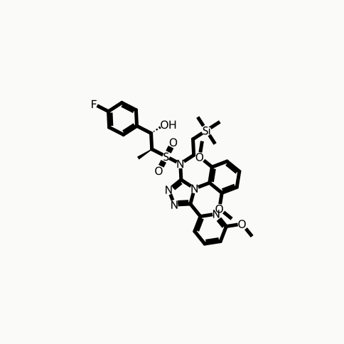 COc1cccc(-c2nnc(N(CC[Si](C)(C)C)S(=O)(=O)[C@@H](C)[C@@H](O)c3ccc(F)cc3)n2-c2c(OC)cccc2OC)n1